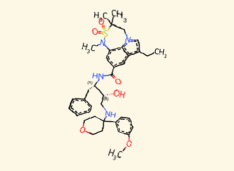 CCc1cn2c3c(cc(C(=O)N[C@@H](Cc4ccccc4)[C@H](O)CNC4(c5cccc(OC)c5)CCOCC4)cc13)N(C)S(=O)(=O)C(C)(C)C2